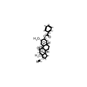 C[C@H]1C[C@@]2(C)[C@@H](CC[C@H]3[C@@H]4CC[C@H](C#N)[C@@]4(C)CC(=O)[C@@H]32)C[C@@H]1OC(=O)c1ccccc1